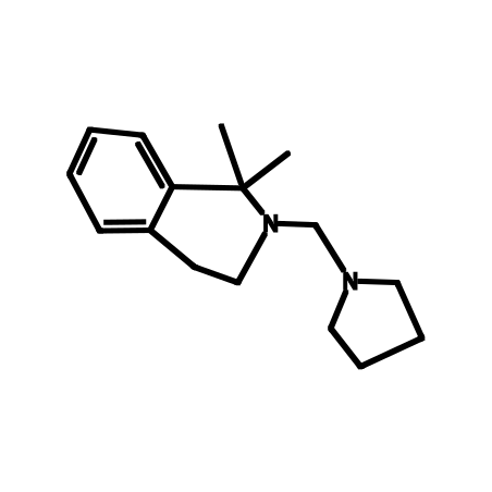 CC1(C)c2ccccc2CCN1CN1CCCC1